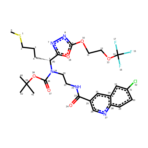 CSCCC[C@H](c1nnc(OCCOC(F)(F)F)o1)N(CCNC(=O)c1cnc2ccc(Cl)cc2c1)C(=O)OC(C)(C)C